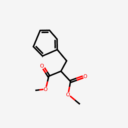 COC(=O)C(Cc1[c]cccc1)C(=O)OC